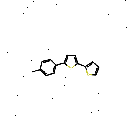 Cc1ccc(-c2ccc(-c3cccs3)s2)cc1